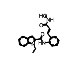 CCn1c(C(=O)Nc2ccccc2C=CC(=O)NO)cc2ccccc21